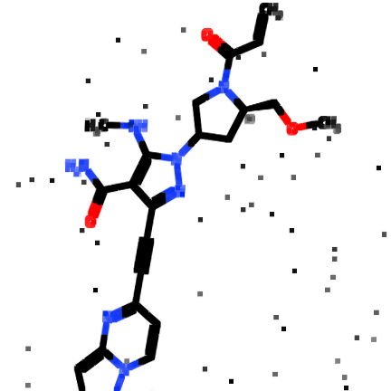 C=CC(=O)N1CC(n2nc(C#Cc3ccn4nccc4n3)c(C(N)=O)c2NC)C[C@@H]1COC